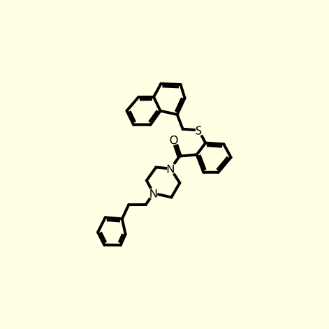 O=C(c1ccccc1SCc1cccc2ccccc12)N1CCN(CCc2ccccc2)CC1